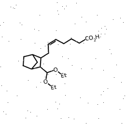 CCOC(OCC)C1C2CCC(C2)C1C/C=C\CCCC(=O)O